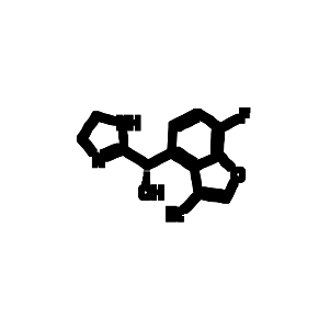 CCc1coc2c(F)ccc([C@H](O)C3=NCCN3)c12